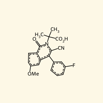 COc1ccc2c(=O)n(C(C)(C)C(=O)O)c(C#N)c(-c3cccc(F)c3)c2c1